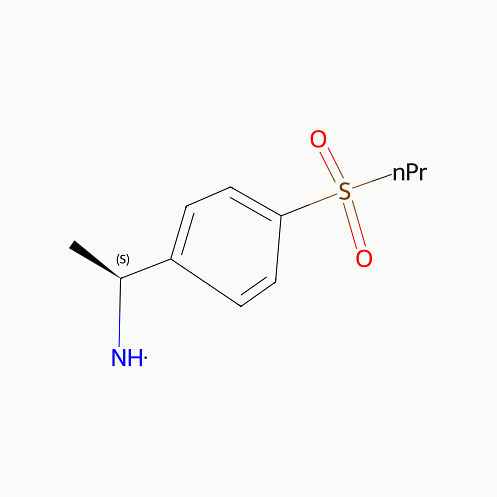 CCCS(=O)(=O)c1ccc([C@H](C)[NH])cc1